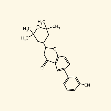 CC1(C)CC(C2CC(=O)c3cc(-c4cccc(C#N)c4)ccc3O2)CC(C)(C)O1